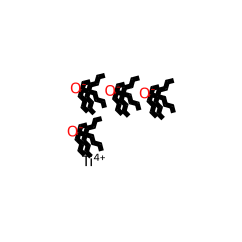 CCCCC([O-])(CC)C(CCCC)(CCCC)CCCC.CCCCC([O-])(CC)C(CCCC)(CCCC)CCCC.CCCCC([O-])(CC)C(CCCC)(CCCC)CCCC.CCCCC([O-])(CC)C(CCCC)(CCCC)CCCC.[Ti+4]